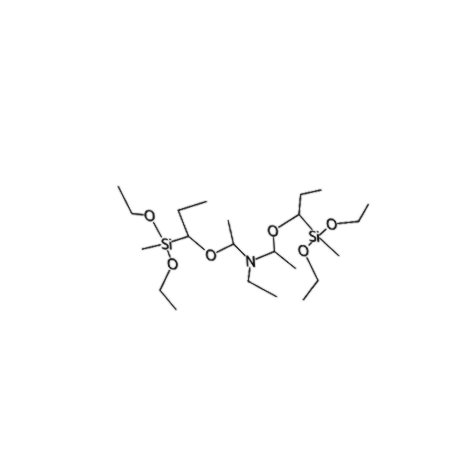 CCO[Si](C)(OCC)C(CC)OC(C)N(CC)C(C)OC(CC)[Si](C)(OCC)OCC